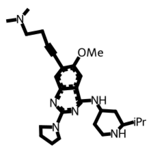 COc1cc2c(NC3CCNC(C(C)C)C3)nc(N3CCCC3)nc2cc1C#CCCN(C)C